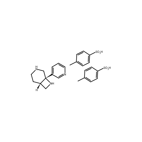 Cc1ccc(S(=O)(=O)O)cc1.Cc1ccc(S(=O)(=O)O)cc1.c1cncc([C@]23CNCC[C@H]2CN3)c1